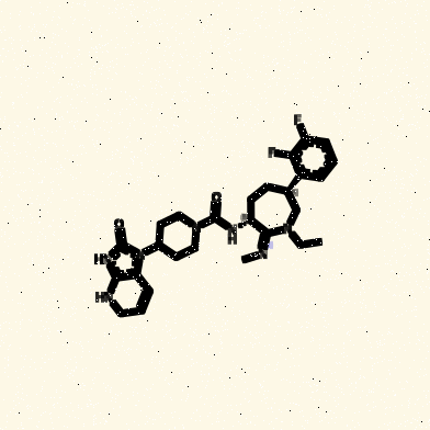 CCN1C[C@H](c2cccc(F)c2F)CC[C@@H](NC(=O)N2CCC(n3c4c([nH]c3=O)NCC=C4)CC2)/C1=N\C